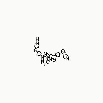 CN1CCC([S+]([O-])c2ccc(-c3cc4cnc(Nc5ccc(OC6CCNCC6)cc5)nc4n(CC(F)(F)F)c3=O)cc2)CC1